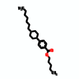 CCCCCCCC1CCC(c2ccc(C(=O)OCCCCC)cc2)CC1